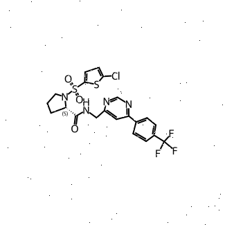 O=C(NCc1cc(-c2ccc(C(F)(F)F)cc2)ncn1)[C@@H]1CCCN1S(=O)(=O)c1ccc(Cl)s1